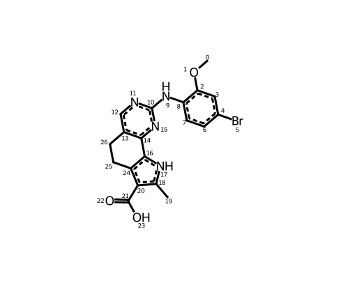 COc1cc(Br)ccc1Nc1ncc2c(n1)-c1[nH]c(C)c(C(=O)O)c1CC2